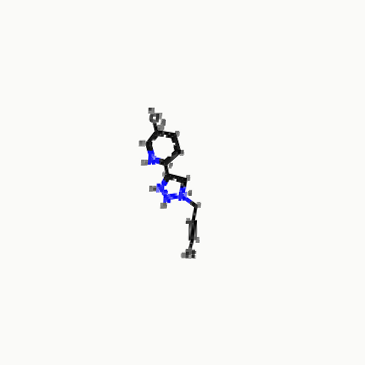 CCC#CCn1cc(-c2ccc(C(F)(F)F)cn2)nn1